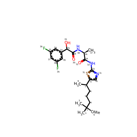 COC(C)(C)CCCC(C)c1cnc(NC(=O)[C@H](C)NC(=O)C(O)c2cc(F)cc(F)c2)s1